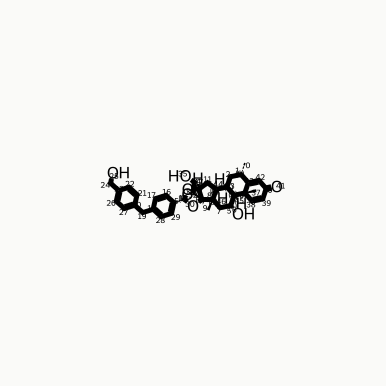 C[C@H]1C[C@@H]2[C@H]([C@@H](O)C[C@@]3(C)[C@H]2C[C@H]2O[C@@H](c4ccc(Cc5ccc(CO)cc5)cc4)O[C@]23C(=O)CO)[C@@]2(C)C=CC(=O)C=C12